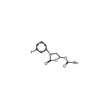 CCC(C)C(=O)OC1CN(c2cccc(F)c2)C(=O)O1